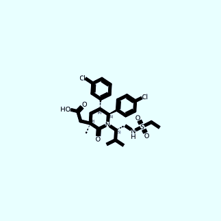 CCS(=O)(=O)NC[C@H](C(C)C)N1C(=O)[C@@](C)(CC(=O)O)C[C@H](c2cccc(Cl)c2)[C@H]1c1ccc(Cl)cc1